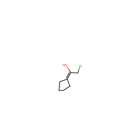 OC(CCl)=C1CCCC1